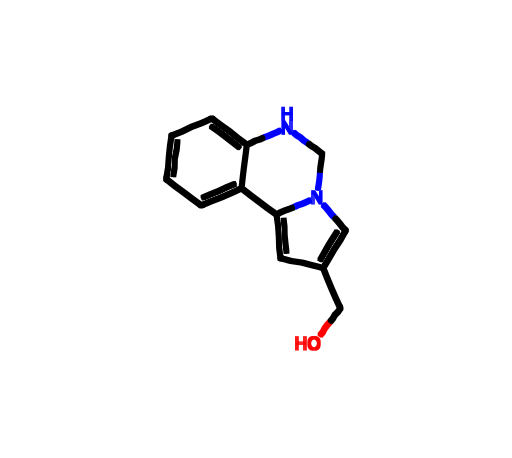 OCc1cc2n(c1)CNc1ccccc1-2